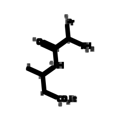 CCOC(=O)CC(C)NC(=O)C(N)C(C)C